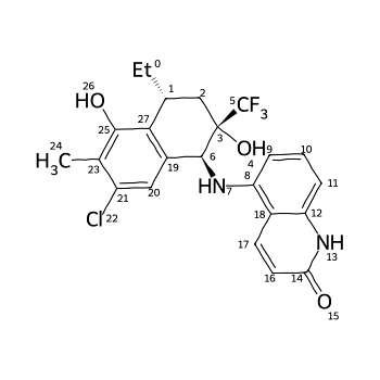 CC[C@@H]1C[C@@](O)(C(F)(F)F)[C@@H](Nc2cccc3[nH]c(=O)ccc23)c2cc(Cl)c(C)c(O)c21